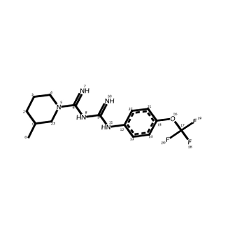 CC1CCCN(C(=N)NC(=N)Nc2ccc(OC(F)(F)F)cc2)C1